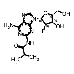 CC(C)C(=O)Nc1nc(N)c2ncn([C@@H]3O[C@H](CO)[C@@H](O)[C@H]3F)c2n1